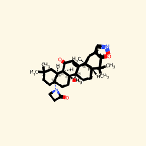 CC1(C)CC[C@]2(N3CCC3=O)CC[C@]3(C)[C@H](C(=O)C=C4[C@@]5(C)Cc6cnoc6C(C)(C)[C@@H]5CC[C@]43C)[C@@H]2C1